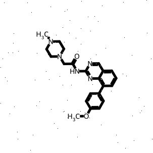 COc1ccc(-c2cccc3cnc(NC(=O)CN4CCN(C)CC4)nc23)cc1